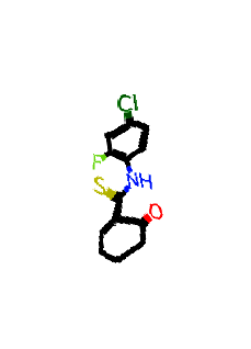 O=C1CCCC=C1C(=S)Nc1ccc(Cl)cc1F